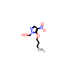 CCCCOc1c([N+](=O)[O-])cnn1CO